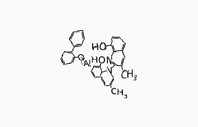 CC1=CN(c2nc3c(O)cccc3cc2C)C2C(O)=CC=CC2=C1.[Al][O]c1ccccc1-c1ccccc1